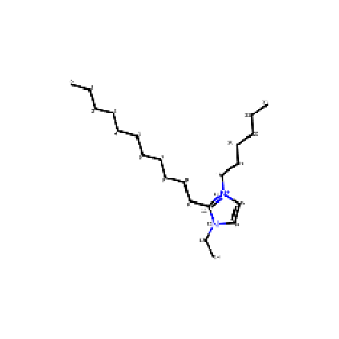 CCCCCCCCCCCc1n(CC)cc[n+]1CCCCCC